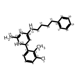 Cc1c(Cl)cccc1C1C=C(NCCCCc2ccccc2)N=C(N)N1